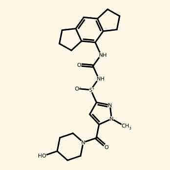 Cn1nc([S+]([O-])NC(=O)Nc2c3c(cc4c2CCC4)CCC3)cc1C(=O)N1CCC(O)CC1